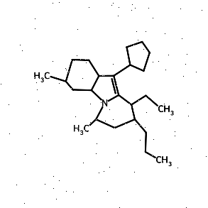 CCCC1CC(C)N2C(=C(C3CCCC3)C3CCC(C)CC32)C1CC